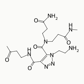 CNC(=O)CCN(CCC(N)=O)C(=O)c1c(C(=O)NCCC(C)=O)nnn1CCN